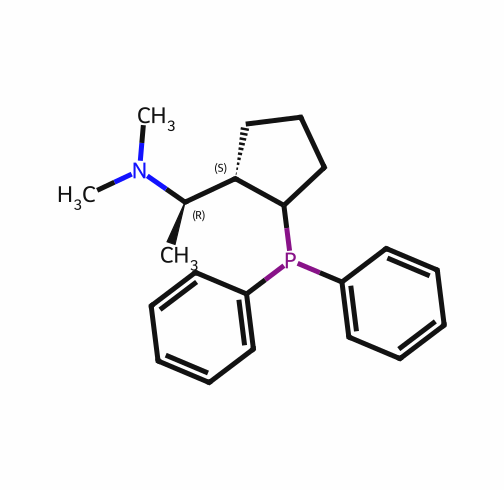 C[C@H]([C@@H]1CCCC1P(c1ccccc1)c1ccccc1)N(C)C